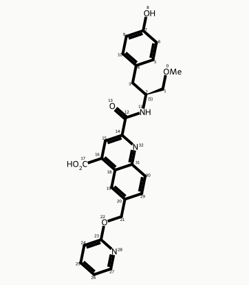 COC[C@H](Cc1ccc(O)cc1)NC(=O)c1cc(C(=O)O)c2cc(COc3ccccn3)ccc2n1